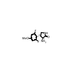 COc1cc(F)c([C@@H]2CNC(=O)[C@H]2N)c(F)c1